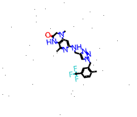 Cc1ccc(C(F)(F)F)cc1Cn1cc(CNc2cc3c(c(C)n2)NC(=O)CN3C)nn1